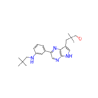 CC(C)(C)CNc1cccc(-c2cnc3[nH]cc(CC(C)(C)C=O)c3n2)c1